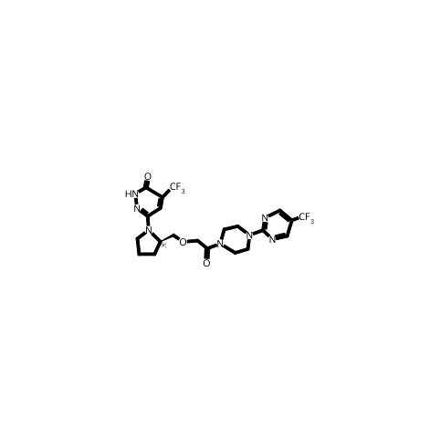 O=C(COC[C@H]1CCCN1c1cc(C(F)(F)F)c(=O)[nH]n1)N1CCN(c2ncc(C(F)(F)F)cn2)CC1